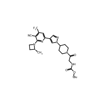 C[C@H]1CCN1c1nc(-c2cnn(C3CCN(C(=O)CNC(=O)OC(C)(C)C)CC3)c2)cc(C(F)(F)F)c1C#N